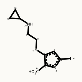 O=C(O)c1sc(I)cc1SCCNC1CC1